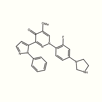 COc1cn(-c2ccc(N3CCNC3)cc2F)nc(-c2ccnn2-c2ccccc2)c1=O